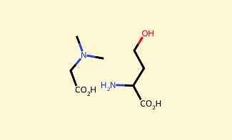 CN(C)CC(=O)O.NC(CCO)C(=O)O